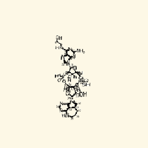 Nc1nc(NCCO)c2ncn([C@@H]3O[C@@H]4COP(=O)(S)O[C@H]5[C@@H](O)[C@H](n6cc7c8c(ncnc86)NCCC7)O[C@@H]5COP(=O)(S)O[C@@H]3[C@@H]4O)c2n1